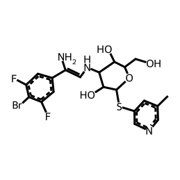 Cc1cncc(SC2OC(CO)C(O)C(N/C=C(\N)c3cc(F)c(Br)c(F)c3)C2O)c1